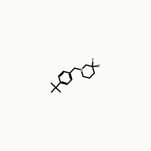 CC(C)(C)c1ccc(CN2CCCC(F)(F)C2)cc1